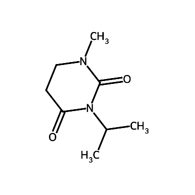 CC(C)N1C(=O)CCN(C)C1=O